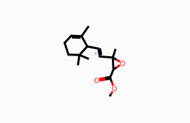 COC(=O)C1OC1(C)/C=C/C1C(C)=CCCC1(C)C